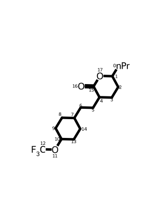 CCCC1CCC(CCC2CCC(OC(F)(F)F)CC2)C(=O)O1